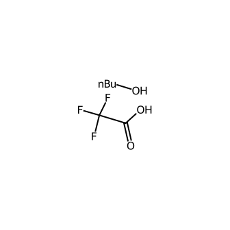 CCCCO.O=C(O)C(F)(F)F